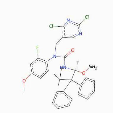 COc1ccc(N(Cc2cnc(Cl)nc2Cl)C(=O)N[C@@](C)(O[SiH3])C(c2ccccc2)(c2ccccc2)C(C)(C)C)c(F)c1